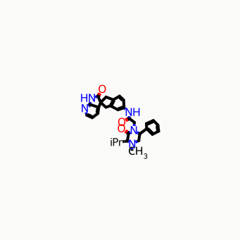 CC(C)C1C(=O)N(CC(=O)Nc2ccc3c(c2)CC2(C3)C(=O)Nc3ncccc32)C(c2ccccc2)CN1C